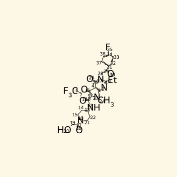 CCc1nc2c(c(OCC(F)(F)F)c(C(=O)NC3CCN(C(=O)CO)CC3)n2C)c(=O)n1CC(=O)c1ccc(F)cc1